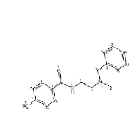 CN(CCNC(=O)c1ccc(C#N)cc1)Cc1ccccc1